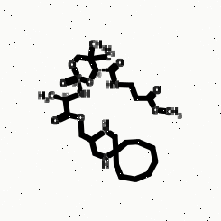 COC(=O)CCNC(=O)[C@@H]1O[P@@](=O)(N[C@H](C)C(=O)OCC2CNC3(CCCCCCCC3)CN2)OCC1(C)C